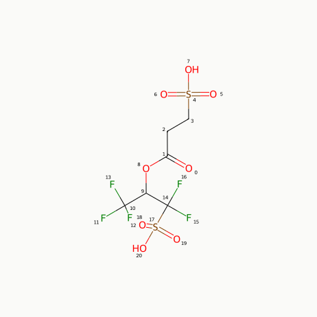 O=C(CCS(=O)(=O)O)OC(C(F)(F)F)C(F)(F)S(=O)(=O)O